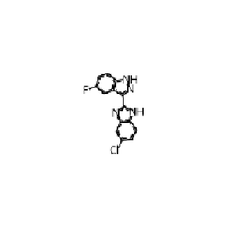 Fc1ccc2[nH]nc(-c3nc4cc(Cl)ccc4[nH]3)c2c1